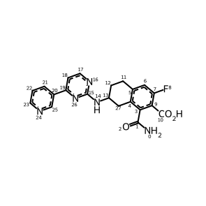 NC(=O)c1c2c(cc(F)c1C(=O)O)CCC(Nc1nccc(-c3cccnc3)n1)C2